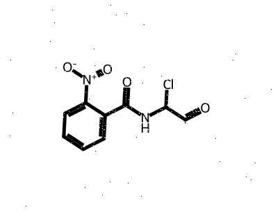 O=[C]C(Cl)NC(=O)c1ccccc1[N+](=O)[O-]